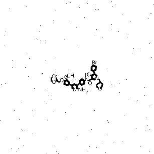 COc1cc(-c2cnc(N)c(-c3ccc(NC(=O)c4cn(CC5CCOCC5)cc(-c5ccc(Br)cc5)c4=O)cc3)c2)ccc1OCC1COCCO1